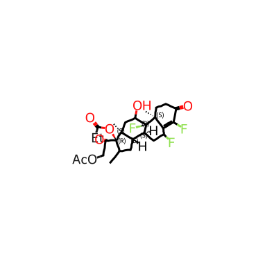 CCC(=O)O[C@]1(C(=O)COC(C)=O)C(C)C[C@H]2[C@@H]3CC(F)C4=C(F)C(=O)CC[C@]4(C)[C@@]3(F)C(O)C[C@@]21C